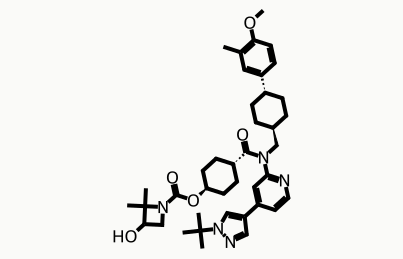 COc1ccc([C@H]2CC[C@H](CN(c3cc(-c4cnn(C(C)(C)C)c4)ccn3)C(=O)[C@H]3CC[C@H](OC(=O)N4CC(O)C4(C)C)CC3)CC2)cc1C